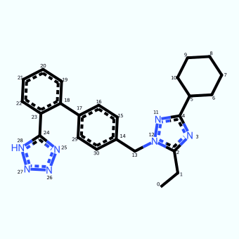 CCc1nc(C2CCCCC2)nn1Cc1ccc(-c2ccccc2-c2nnn[nH]2)cc1